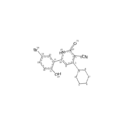 N#Cc1c(C2CCCCC2)cc(-c2cc(Br)ccc2O)[nH]c1=O